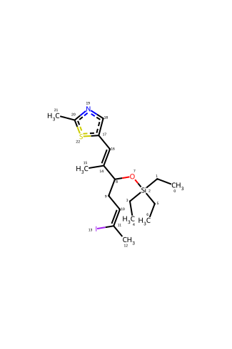 CC[Si](CC)(CC)OC(C/C=C(/C)I)/C(C)=C/c1cnc(C)s1